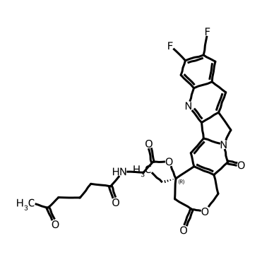 CC[C@@]1(OC(=O)CNC(=O)CCCC(C)=O)CC(=O)OCc2c1cc1n(c2=O)Cc2cc3cc(F)c(F)cc3nc2-1